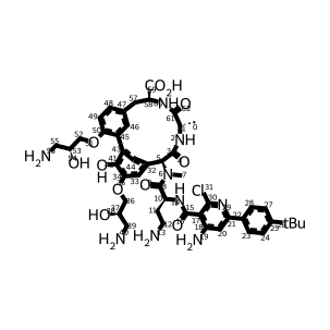 C[C@@H]1NC(=O)[C@@H](N(C)C(=O)[C@H](CCN)NC(=O)c2c(N)cc(-c3ccc(C(C)(C)C)cc3)nc2Cl)c2cc(OC[C@H](O)CN)c(O)c(c2)-c2cc(ccc2OC[C@H](O)CN)C[C@@H](C(=O)O)NC1=O